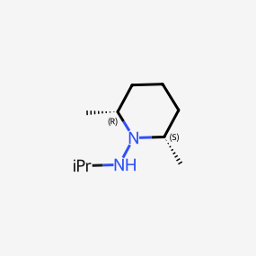 CC(C)NN1[C@H](C)CCC[C@@H]1C